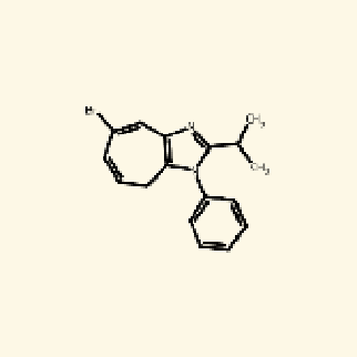 CC(C)c1nc2c(n1-c1ccccc1)CC=CC(Br)=C2